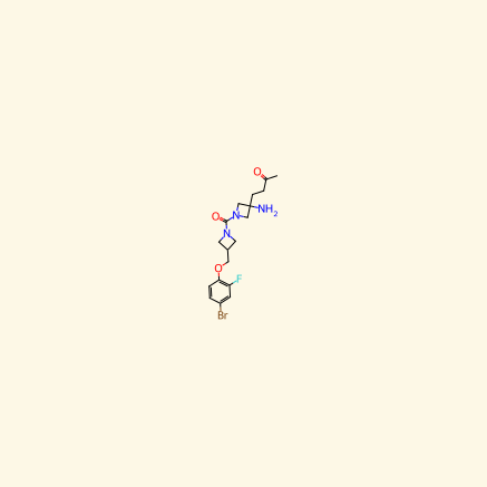 CC(=O)CCC1(N)CN(C(=O)N2CC(COc3ccc(Br)cc3F)C2)C1